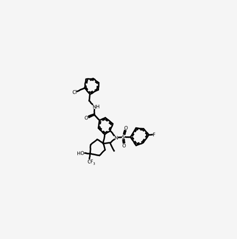 CC1N(S(=O)(=O)c2ccc(F)cc2)c2ccc(C(=O)NCc3ccccc3Cl)cc2C12CCC(O)(C(F)(F)F)CC2